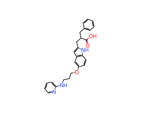 O=C(O)C(Cc1ccccc1)Cc1cc2cc(OCCCNc3ccccn3)ccc2[nH]1